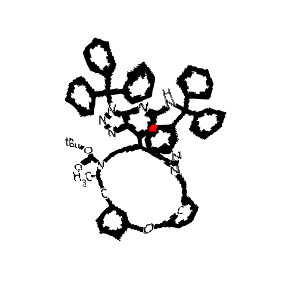 C[C@H]1Cc2cccc(c2)Oc2cccc(c2)Cn2cc(cn2)/C(c2cc(NC(c3ccccc3)(c3ccccc3)c3ccccc3)nc3c2nnn3C(c2ccccc2)(c2ccccc2)c2ccccc2)=C\CN1C(=O)OC(C)(C)C